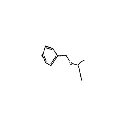 CC(C)O[C]c1ccccc1